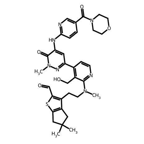 CN(CCc1c(C=O)sc2c1CC(C)(C)C2)c1nccc(-c2cc(Nc3ccc(C(=O)N4CCOCC4)cn3)c(=O)n(C)n2)c1CO